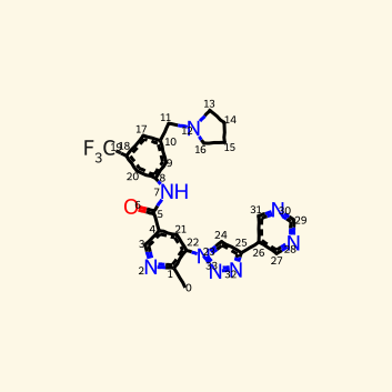 Cc1ncc(C(=O)Nc2cc(CN3CCCC3)cc(C(F)(F)F)c2)cc1-n1cc(-c2cncnc2)nn1